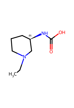 CCN1CCC[C@@H](NC(=O)O)C1